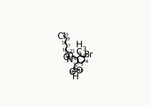 Cc1c(Br)ccc(C[SH](=O)=O)c1C1=NOC(CCCCCl)C1